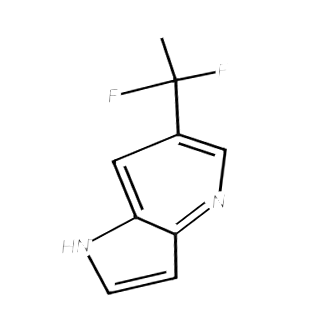 CC(F)(F)c1cnc2cc[nH]c2c1